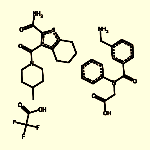 CC1CCN(C(=O)c2c(C(N)=O)sc3c2CCCC3)CC1.NCc1cccc(C(=O)N(CC(=O)O)c2ccccc2)c1.O=C(O)C(F)(F)F